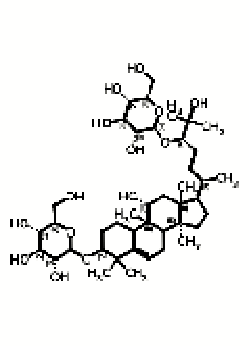 C[C@H](CC[C@@H](O[C@@H]1O[C@H](CO)[C@@H](O)[C@H](O)[C@H]1O)C(C)(C)O)C1CC[C@@]2(C)C3CC=C4C(CC[C@H](OC5O[C@H](CO)[C@@H](O)[C@H](O)[C@H]5O)C4(C)C)[C@]3(C)[C@H](O)C[C@]12C